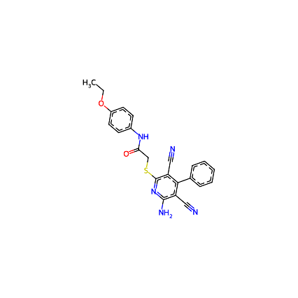 CCOc1ccc(NC(=O)CSc2nc(N)c(C#N)c(-c3ccccc3)c2C#N)cc1